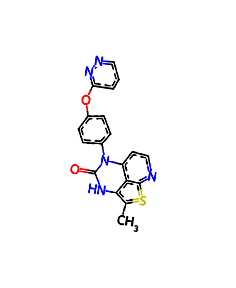 Cc1sc2nccc3c2c1NC(=O)N3c1ccc(Oc2cccnn2)cc1